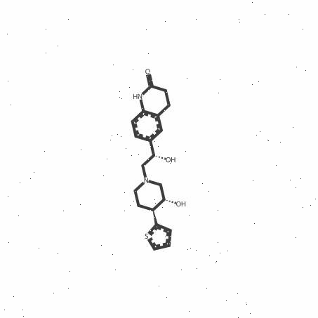 O=C1CCc2cc([C@H](O)CN3CC[C@H](c4cccs4)[C@@H](O)C3)ccc2N1